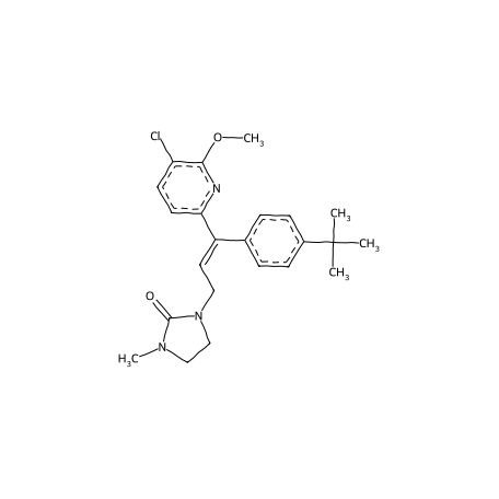 COc1nc(C(=CCN2CCN(C)C2=O)c2ccc(C(C)(C)C)cc2)ccc1Cl